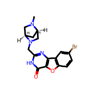 CN1C[C@H]2C[C@@H]1CN2Cc1nc2c(oc3ccc(Br)cc32)c(=O)[nH]1